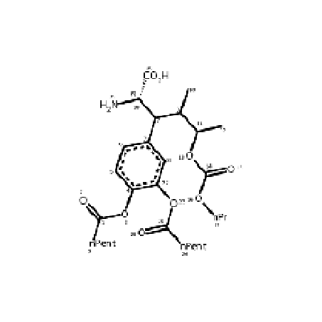 CCCCCC(=O)Oc1ccc(C(C(C)C(C)OC(=O)OCCC)[C@H](N)C(=O)O)cc1OC(=O)CCCCC